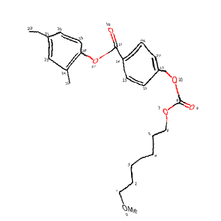 COCCCCCCOC(=O)Oc1ccc(C(=O)Oc2ccc(C)cc2C)cc1